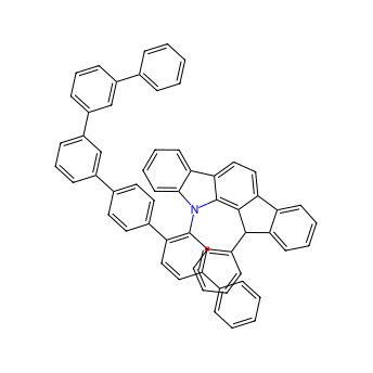 c1ccc(-c2cccc(-c3cccc(-c4ccc(-c5ccc(-c6ccccc6)cc5-n5c6ccccc6c6ccc7c(c65)C(c5ccccc5)c5ccccc5-7)cc4)c3)c2)cc1